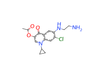 CC(=O)Oc1cn(C2CC2)c2cc(Cl)c(NCCN)cc2c1=O